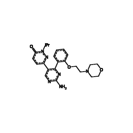 CC(C)n1nc(-c2cnc(N)nc2-c2ccccc2OCCN2CCOCC2)ccc1=O